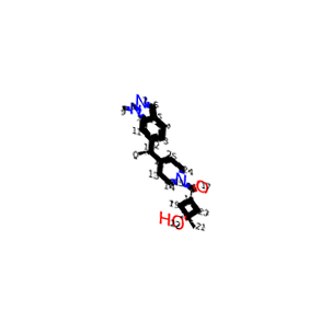 C[C@@H](c1ccc2cnn(C)c2c1)C1CCN(C(=O)[C@H]2C[C@@](C)(O)C2)CC1